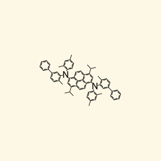 Cc1ccc(N(c2cc(-c3ccccc3)ccc2C)c2cc(C(C)C)c3ccc4c(N(c5ccc(C)cc5C)c5cc(-c6ccccc6)ccc5C)cc(C(C)C)c5ccc2c3c54)c(C)c1